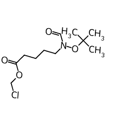 CC(C)(C)ON(C=O)CCCCC(=O)OCCl